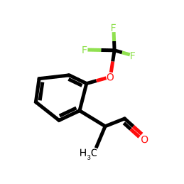 CC(C=O)c1ccccc1OC(F)(F)F